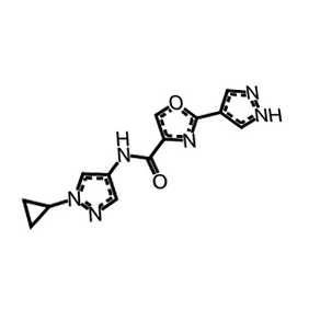 O=C(Nc1cnn(C2CC2)c1)c1coc(-c2cn[nH]c2)n1